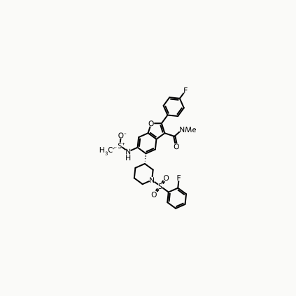 CNC(=O)c1c(-c2ccc(F)cc2)oc2cc(N[S@+](C)[O-])c([C@H]3CCCN(S(=O)(=O)c4ccccc4F)C3)cc12